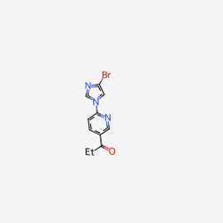 CCC(=O)c1ccc(-n2cnc(Br)c2)nc1